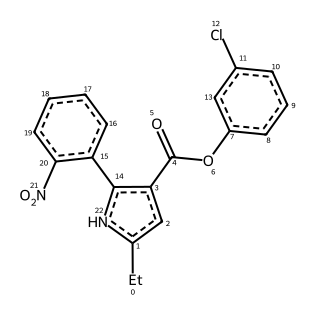 CCc1cc(C(=O)Oc2cccc(Cl)c2)c(-c2ccccc2[N+](=O)[O-])[nH]1